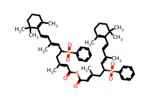 CC1=C(/C=C/C(C)=C/C(C/C(C)=C/C(=O)SC(=O)/C=C(\C)CC(/C=C(C)/C=C/C2=C(C)CCCC2(C)C)S(=O)(=O)c2ccccc2)S(=O)(=O)c2ccccc2)C(C)(C)CCC1